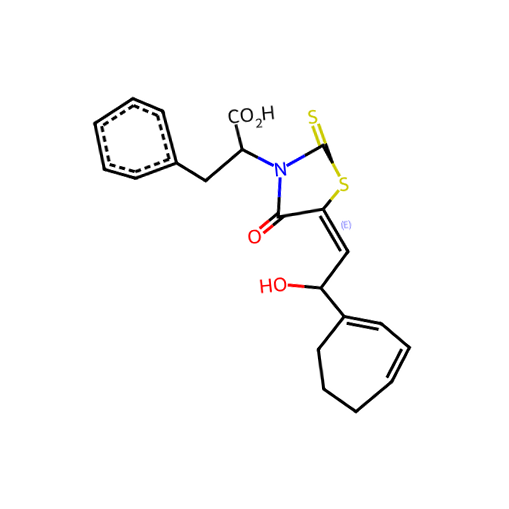 O=C(O)C(Cc1ccccc1)N1C(=O)/C(=C\C(O)C2=CC=CCCC2)SC1=S